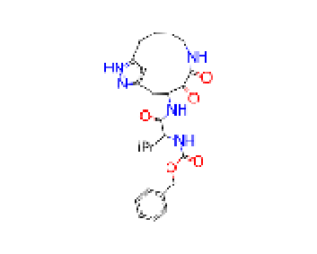 CC(C)C(NC(=O)OCc1ccccc1)C(=O)NC1Cc2cc([nH]n2)CCCCNC(=O)C1=O